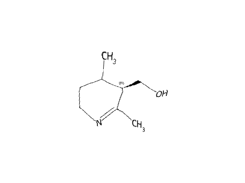 CC1=NCCC(C)[C@H]1CO